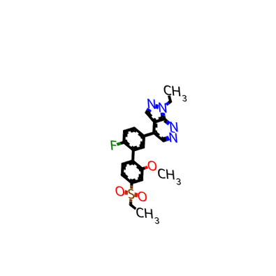 CCn1ncc2c(-c3ccc(F)c(-c4ccc(S(=O)(=O)CC)cc4OC)c3)cnnc21